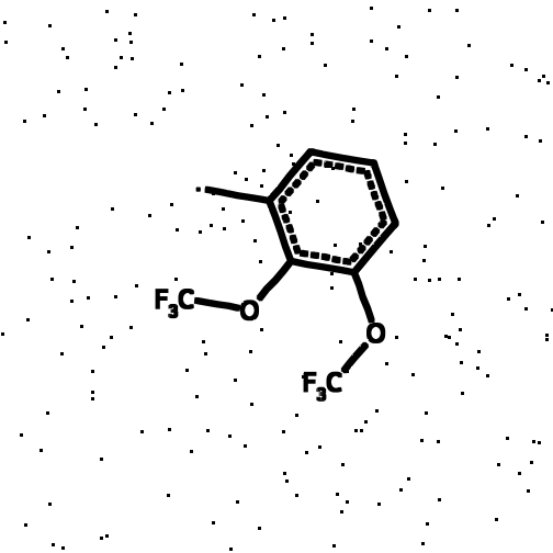 [CH2]c1cccc(OC(F)(F)F)c1OC(F)(F)F